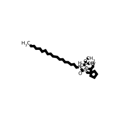 CCCCCCCCCCCCCCCCCCNC(=O)OCC1(C(CBr)OP(=O)(O)OC)CCCC1